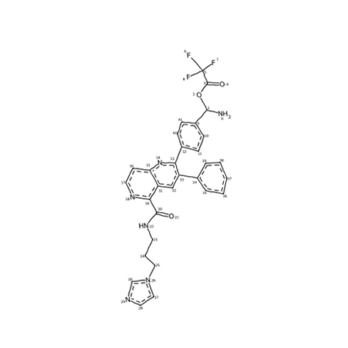 NC(OC(=O)C(F)(F)F)c1ccc(-c2nc3ccnc(C(=O)NCCCn4ccnc4)c3cc2-c2ccccc2)cc1